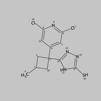 CC1CC(c2cc(Cl)nc(Cl)c2)(c2nnc(S)[nH]2)C1